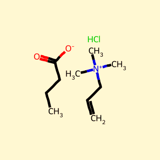 C=CC[N+](C)(C)C.CCCC(=O)[O-].Cl